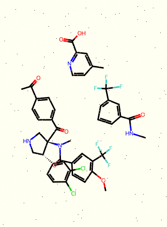 CNC(=O)c1cccc(C(F)(F)F)c1.COc1ccc(C(=O)N(C)[C@]2(C(=O)c3ccc(C(C)=O)cc3)CNC[C@H]2c2ccc(Cl)c(Cl)c2)cc1C(F)(F)F.Cc1ccnc(C(=O)O)c1